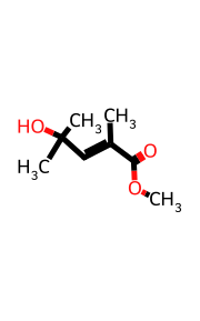 COC(=O)C(C)=CC(C)(C)O